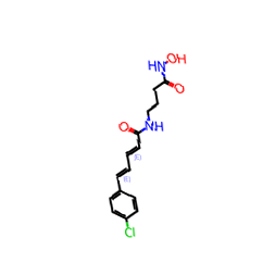 O=C(/C=C/C=C/c1ccc(Cl)cc1)NCCCC(=O)NO